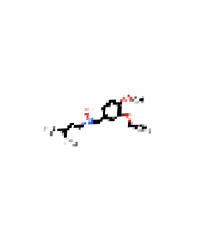 CCOc1cc(C=[N+]([O-])CCC(C)C)ccc1OC